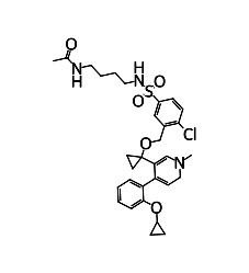 CC(=O)NCCCCNS(=O)(=O)c1ccc(Cl)c(COC2(C3=CN(C)CC=C3c3ccccc3OC3CC3)CC2)c1